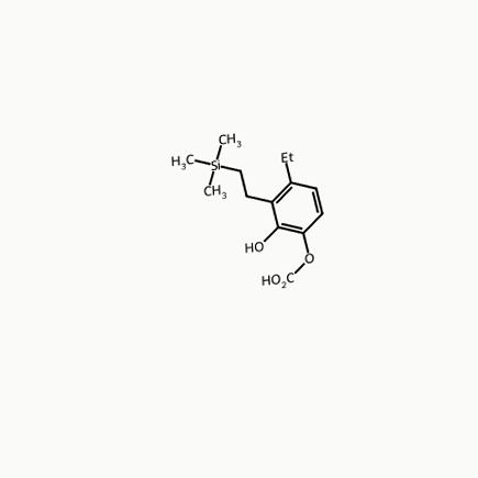 CCc1ccc(OC(=O)O)c(O)c1CC[Si](C)(C)C